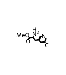 COC(=O)C(N)Cc1cncc(Cl)c1